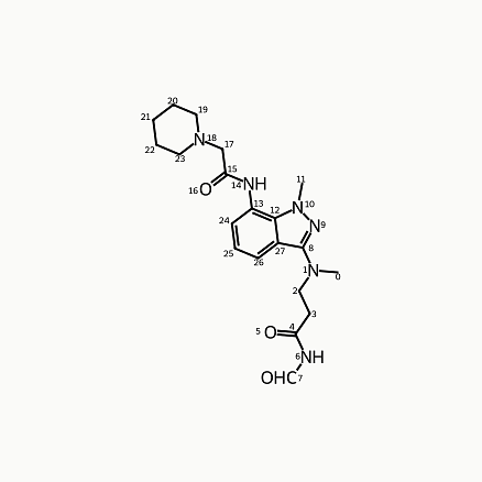 CN(CCC(=O)NC=O)c1nn(C)c2c(NC(=O)CN3CCCCC3)cccc12